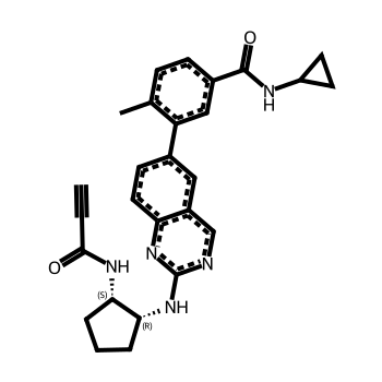 C#CC(=O)N[C@H]1CCC[C@H]1Nc1ncc2cc(-c3cc(C(=O)NC4CC4)ccc3C)ccc2n1